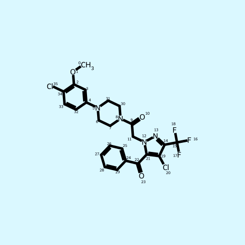 COc1cc(N2CCN(C(=O)Cn3nc(C(F)(F)F)c(Cl)c3C(=O)c3ccccc3)CC2)ccc1Cl